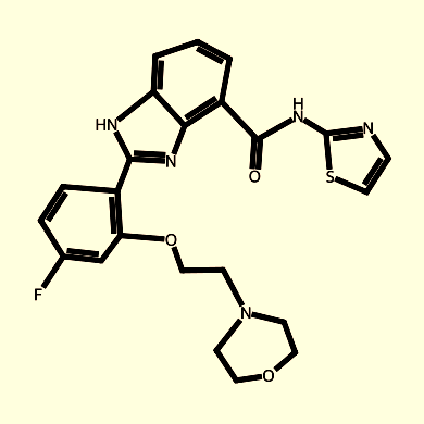 O=C(Nc1nccs1)c1cccc2[nH]c(-c3ccc(F)cc3OCCN3CCOCC3)nc12